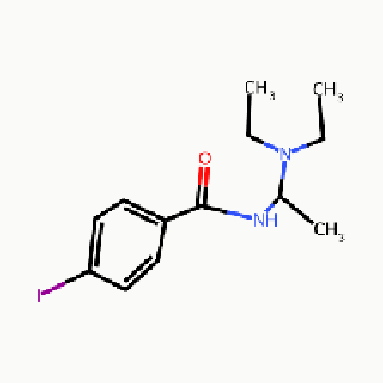 CCN(CC)C(C)NC(=O)c1ccc(I)cc1